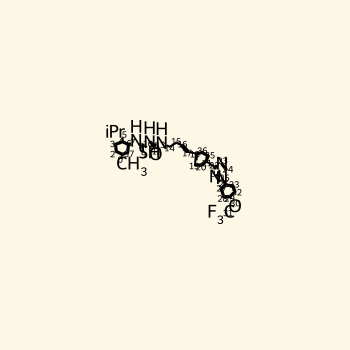 Cc1ccc(C(C)C)c(NC(S)NC(=O)NCCC#Cc2ccc(-c3ncn(-c4ccc(OC(F)(F)F)cc4)n3)cc2)c1